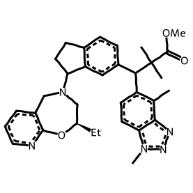 CC[C@@H]1CN(C2CCc3ccc(C(c4ccc5c(nnn5C)c4C)C(C)(C)C(=O)OC)cc32)Cc2cccnc2O1